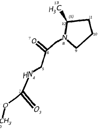 COC(=O)NCC(=O)N1CCC[C@@H]1C